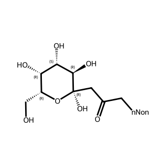 CCCCCCCCCCC(=O)C[C@@]1(O)O[C@H](CO)[C@H](O)[C@H](O)[C@H]1O